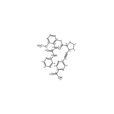 COc1cccc(CC(=O)N2CCCC2C#Cc2ccc(C(=O)O)cc2)c1NC(=O)Nc1ccccc1